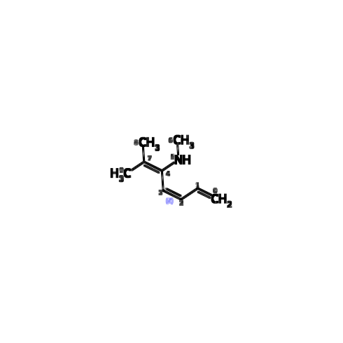 C=C/C=C\C(NC)=C(C)C